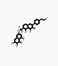 CCCc1ccc(-c2cc3ccc(C(F)(F)Oc4cc(F)c5c(F)c(F)c(F)cc5c4)c(F)c3c(F)c2F)cc1